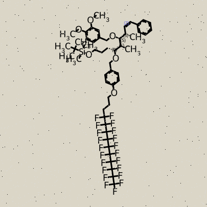 COc1ccc(CO[C@H]([C@@H](C)[C@@H](CCCO[Si](C)(C)C(C)(C)C)OCc2ccc(OCCCC(F)(F)C(F)(F)C(F)(F)C(F)(F)C(F)(F)C(F)(F)C(F)(F)C(F)(F)C(F)(F)C(F)(F)F)cc2)[C@@H](C)/C=C\c2ccccc2)cc1OC